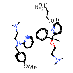 CN(C)CCOC(C)(c1ccccc1)c1ccccn1.COc1ccc(CN(CCN(C)C)c2ccccn2)cc1.O=C(O)CCC(=O)O